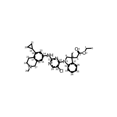 CCOC(=O)CC1(C)CN(c2nc(Nc3cc4c(c(C5CC5)c3)CCN(C)C4)ncc2Cl)c2ccccc21